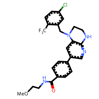 COCCNC(=O)c1ccc(-c2cnc3c(c2)N(Cc2cc(Cl)ccc2C(F)(F)F)CCN3)cc1